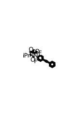 CC(C)N1C(=O)N(C2C(F)=CC(C#Cc3ccccc3)=CC2F)C(=O)C12COC2